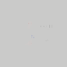 CC(C)C(C(=O)O)N1OCC=CC1=O